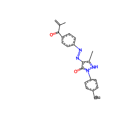 C=C(C)C(=O)c1ccc(N=Nc2c(C)[nH]n(-c3ccc(C(C)(C)C)cc3)c2=O)cc1